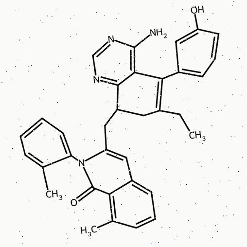 CCC1=C(c2cccc(O)c2)c2c(N)ncnc2C(Cc2cc3cccc(C)c3c(=O)n2-c2ccccc2C)C1